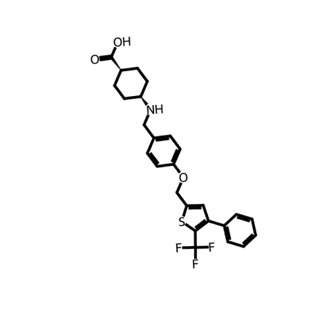 O=C(O)[C@H]1CC[C@@H](NCc2ccc(OCc3cc(-c4ccccc4)c(C(F)(F)F)s3)cc2)CC1